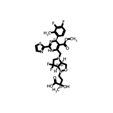 COC(=O)C1=C(CN2CC(F)(F)[C@H]3[C@@H]2CON3CC[C@@](C)(O)C(=O)O)NC(c2nccs2)=N[C@H]1c1ccc(F)c(F)c1C